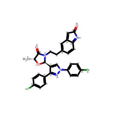 C[C@H]1O[C@H](c2cn(-c3ccc(Br)cc3)nc2-c2ccc(F)cc2)N(CCc2ccc3c(c2)=CC(=O)N=3)C1=O